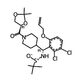 C=CCOc1ccc(Cl)c(Cl)c1[C@H](N[S+]([O-])C(C)(C)C)C1CCN(C(=O)[C@H]2COC(C)(C)O2)CC1